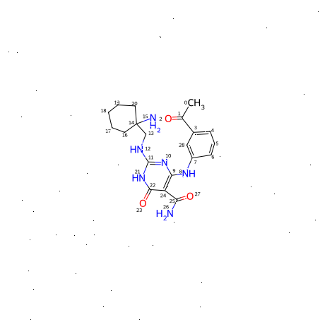 CC(=O)c1cccc(Nc2nc(NCC3(N)CCCCC3)[nH]c(=O)c2C(N)=O)c1